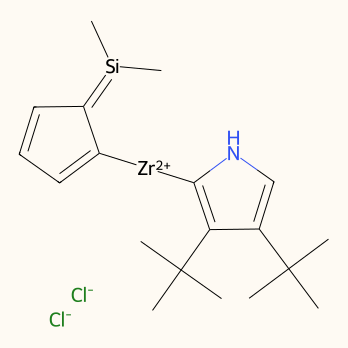 C[Si](C)=C1C=CC=[C]1[Zr+2][c]1[nH]cc(C(C)(C)C)c1C(C)(C)C.[Cl-].[Cl-]